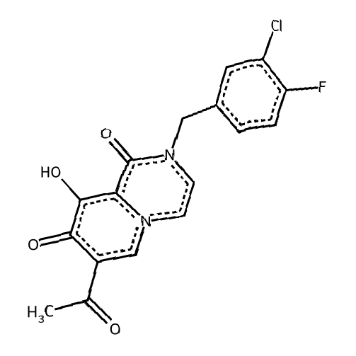 CC(=O)c1cn2ccn(Cc3ccc(F)c(Cl)c3)c(=O)c2c(O)c1=O